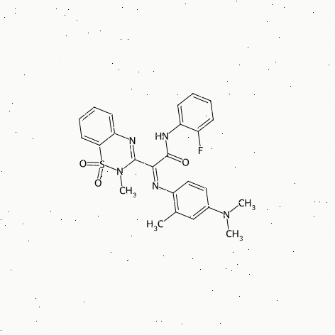 Cc1cc(N(C)C)ccc1/N=C(\C(=O)Nc1ccccc1F)C1=Nc2ccccc2S(=O)(=O)N1C